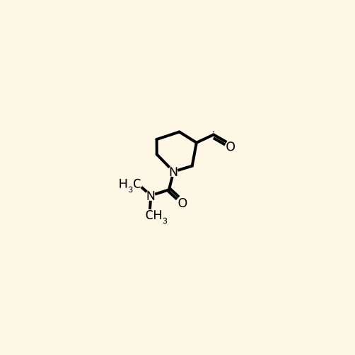 CN(C)C(=O)N1CCCC([C]=O)C1